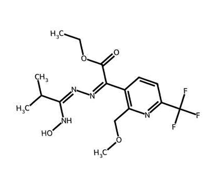 CCOC(=O)C(=N/N=C(\NO)C(C)C)c1ccc(C(F)(F)F)nc1COC